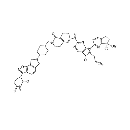 C=CCn1c(=O)c2cnc(Nc3ccc4c(c3)CCN(CC3CCC(N5Cc6ccc7c(C8CCC(=O)NC8=O)noc7c6C5)CC3)C4=O)nc2n1-c1ccc2c(n1)[C@@](O)(CC)CC2